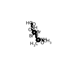 CC(=O)Nc1cc(C)cc(COc2c(Br)cc(C(=O)NCC(=O)O)cc2Br)c1